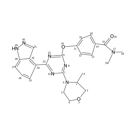 CC1COCCN1c1nc(Oc2ccc(C(=O)N(C)C)cc2)nc(-c2cccc3[nH]ncc23)n1